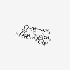 CC(=CCCN1CC(c2cccc3oc(C(C)(C)C)cc23)CC1=O)CCC(C)(C)C(CO)C(C)C